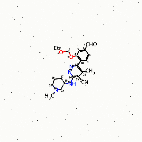 CCOCOc1cc(C=O)ccc1-c1nnc(N[C@@H]2CCCN(C)C2)c(C#N)c1C